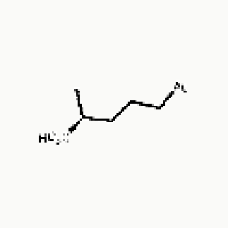 CC(=O)CCC[C@H](C)C(=O)O